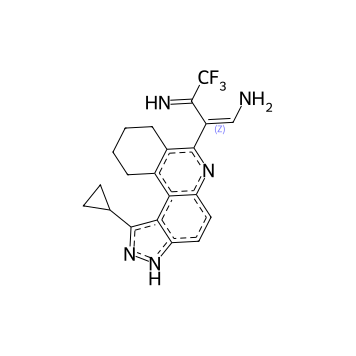 N=C(/C(=C\N)c1nc2ccc3[nH]nc(C4CC4)c3c2c2c1CCCC2)C(F)(F)F